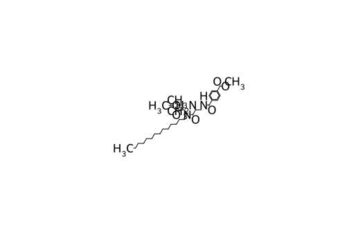 CCCCCCCCCCCCCCN(CC(=O)OC(C)(C)C)C(=O)[C@@H](N)CNC(=O)c1ccc(C(=O)OC)cc1